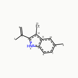 C=C(C)c1[nH]c2ccc(C)cc2c1CC